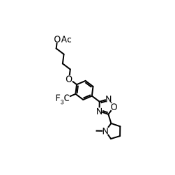 CC(=O)OCCCCOc1ccc(-c2noc(C3CCCN3C)n2)cc1C(F)(F)F